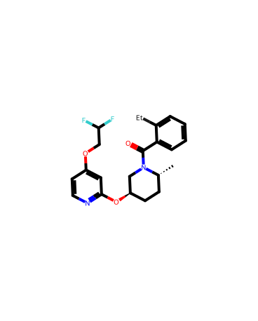 CCc1ccccc1C(=O)N1C[C@H](Oc2cc(OCC(F)F)ccn2)CC[C@H]1C